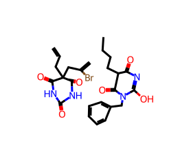 C=CCC1(CC(=C)Br)C(=O)NC(=O)NC1=O.CCCCC1C(=O)N=C(O)N(Cc2ccccc2)C1=O